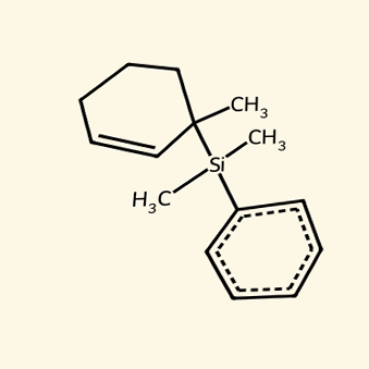 CC1([Si](C)(C)c2ccccc2)C=CCCC1